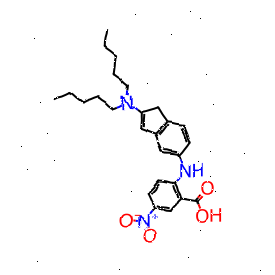 CCCCCN(CCCCC)C1=Cc2cc(Nc3ccc([N+](=O)[O-])cc3C(=O)O)ccc2C1